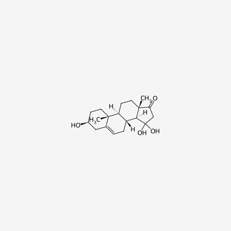 C[C@]12CC[C@H](O)CC1=CC[C@H]1[C@@H]3C(O)(O)CC(=O)[C@@]3(C)CC[C@@H]12